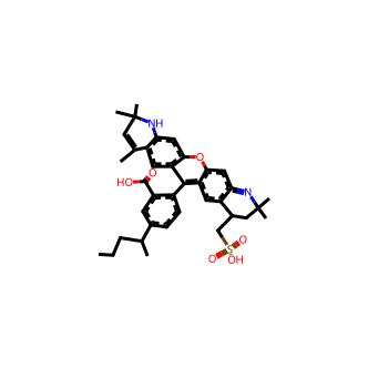 CCCC(C)c1ccc(C2=c3cc4c(cc3Oc3cc5c(cc32)C(C)=CC(C)(C)N5)=NC(C)(C)CC4CS(=O)(=O)O)c(C(=O)O)c1